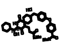 CNC(=O)CCN1C(=O)[C@@H]([C@H](O)C2CCCCC2)NC(=O)C12CCN(Cc1ccc(Oc3ccc(C(=O)NC)cc3)cc1)CC2.Cl